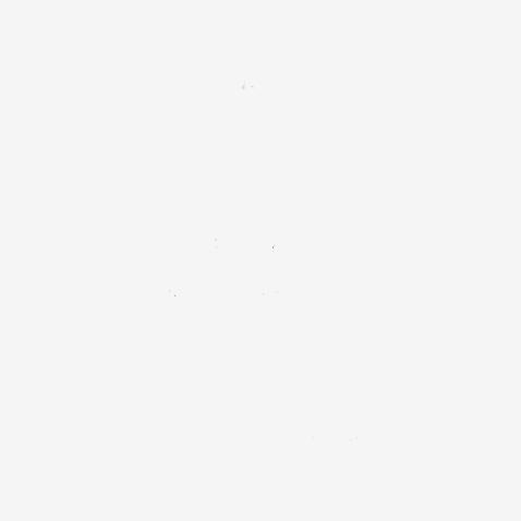 CCCCCCCCCC/C=C\CCCCCCCC(=O)O[C@H](COCCCCCCCCCCCCCCCCCC)COP(=O)(O)OCC[N+](C)(C)C